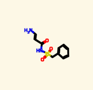 NC=CC(=O)NS(=O)(=O)Cc1ccccc1